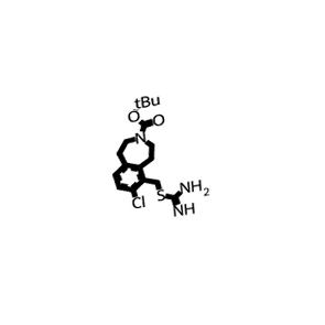 CC(C)(C)OC(=O)N1CCc2ccc(Cl)c(CSC(=N)N)c2CC1